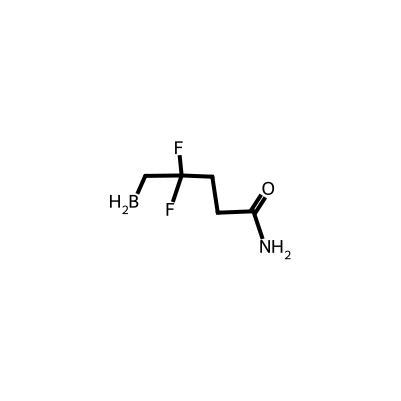 BCC(F)(F)CCC(N)=O